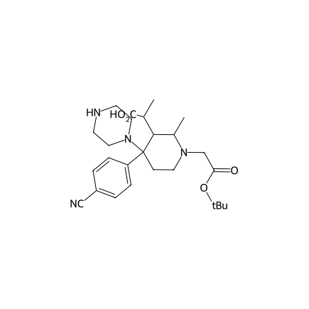 CC(C(=O)O)C1C(C)N(CC(=O)OC(C)(C)C)CCC1(c1ccc(C#N)cc1)N1CCNCC1